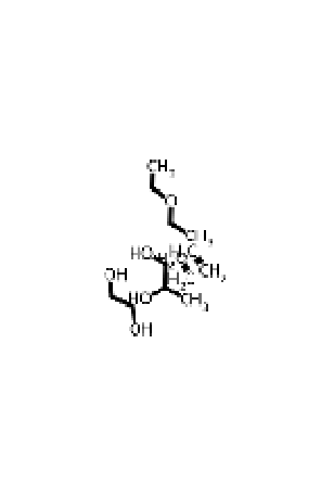 C=C.C=C.CC(O)CO.CCOCC.OCCO